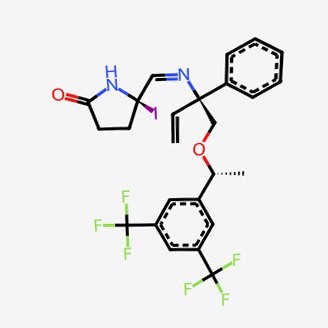 C=C[C@](CO[C@H](C)c1cc(C(F)(F)F)cc(C(F)(F)F)c1)(/N=C\[C@]1(I)CCC(=O)N1)c1ccccc1